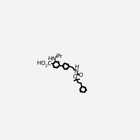 CC(C)Nc1cc(-c2ccc(CCNC(=O)OC(C)(C)CCc3ccccc3)cc2)ccc1C(=O)O